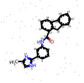 Cc1c[nH]c(-c2cccc(NC(=O)c3cccc4c3Cc3ccccc3-4)c2)n1